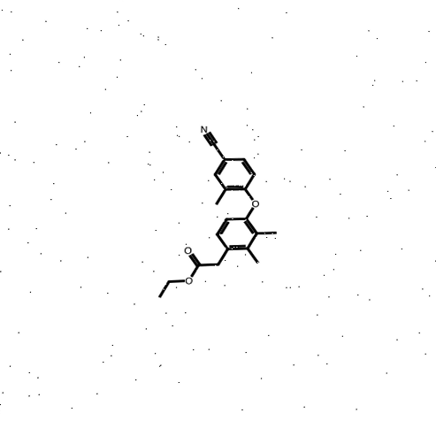 CCOC(=O)Cc1ccc(Oc2ccc(C#N)cc2C)c(C)c1C